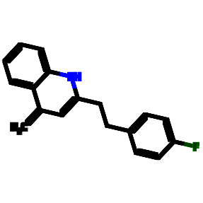 C=C1C=C(CCc2ccc(F)cc2)Nc2ccccc21